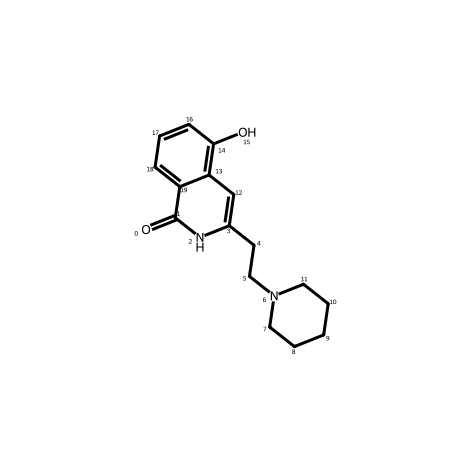 O=c1[nH]c(CCN2CCCCC2)cc2c(O)cccc12